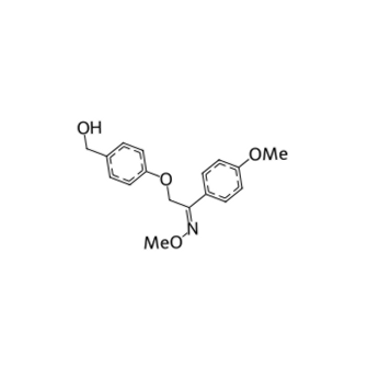 CO/N=C(\COc1ccc(CO)cc1)c1ccc(OC)cc1